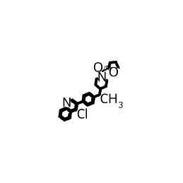 CC(c1ccc(-c2cnc3ccccc3c2Cl)cc1)C1CCN(C(=O)[C@H]2CCCO2)CC1